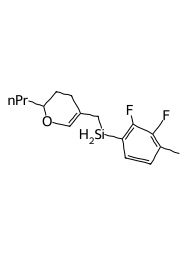 CCCC1CCC(C[SiH2]c2ccc(C)c(F)c2F)=CO1